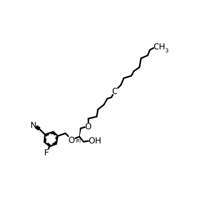 CCCCCCCCCCCCCCCCOC[C@@H](CO)OCc1cc(F)cc(C#N)c1